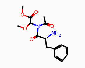 COC(=O)C(OC)N(C(C)=O)C(=O)[C@@H](N)Cc1ccccc1